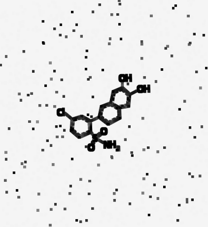 NS(=O)(=O)c1ccc(Cl)cc1-c1ccc2cc(O)c(O)cc2c1